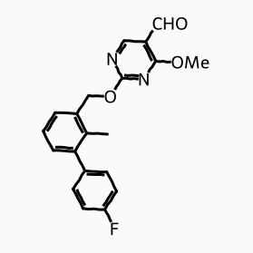 COc1nc(OCc2cccc(-c3ccc(F)cc3)c2C)ncc1C=O